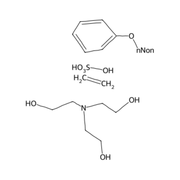 C=C.CCCCCCCCCOc1ccccc1.O=S(=O)(O)O.OCCN(CCO)CCO